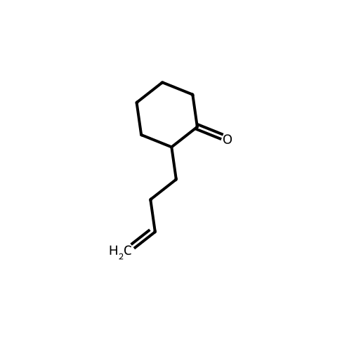 C=CCCC1CCCCC1=O